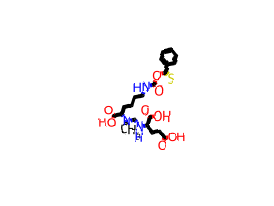 CN(CNC(CCC(=O)O)C(=O)O)C(CCCCNC(=O)OC(=S)c1ccccc1)C(=O)O